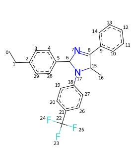 CCc1ccc(C2N=C(c3ccccc3)C(C)N2c2ccc(C(F)(F)F)cc2)cc1